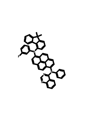 CC1(C)c2ccccc2-c2c(N(c3cccc(F)c3)c3ccc4ccc5c(N(c6ccccc6)c6ncnc7ccccc67)ccc6ccc3c4c65)cccc21